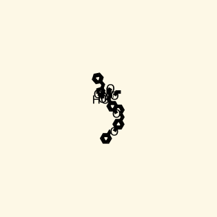 CCO[C@H](C(=O)N1C(=O)OCC1Cc1ccccc1)[C@H](O)c1ccc2c(c1)C=CC(Cc1ccc(OCc3ccccc3)cc1)O2